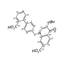 CCCCc1cn(Cc2ccc(-c3ccccc3C(=O)O)cc2)c2cc(C(=O)O)ccc2c1=O